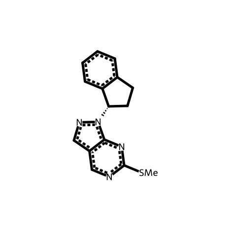 CSc1ncc2cnn([C@H]3CCc4ccccc43)c2n1